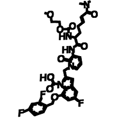 COCCOC(=O)NC(CCC=CC(=O)N(C)C)C(=O)Nc1cccn(Cc2cc3cc(F)cc(OCc4ccc(F)cc4F)c3n2C(=O)O)c1=O